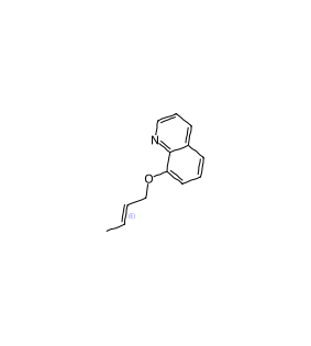 C/C=C/COc1cccc2cccnc12